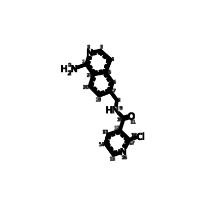 Nc1nccc2cc(CNC(=O)c3cccnc3Cl)ccc12